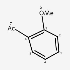 COc1ccc[c]c1C(C)=O